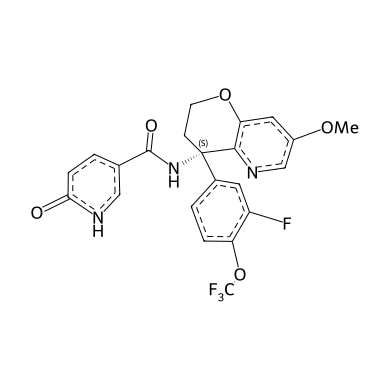 COc1cnc2c(c1)OCC[C@]2(NC(=O)c1ccc(=O)[nH]c1)c1ccc(OC(F)(F)F)c(F)c1